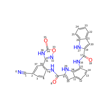 N#Cc1ccc(NC(=O)c2cc3cccc(NC(=O)c4cc5ccccc5[nH]4)c3[nH]2)c(-c2noc(=O)[nH]2)c1